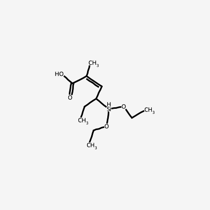 CCO[SiH](OCC)C(C=C(C)C(=O)O)CC